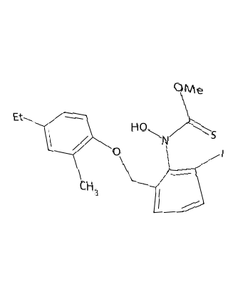 CCc1ccc(OCc2cccc(I)c2N(O)C(=S)OC)c(C)c1